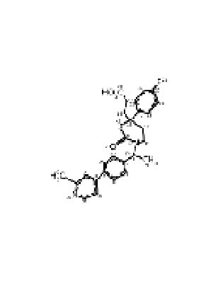 Cc1cc(-c2ccc([C@H](C)N3CCC(CCC(=O)O)(c4ccc(F)cc4)OC3=O)cc2)ccn1